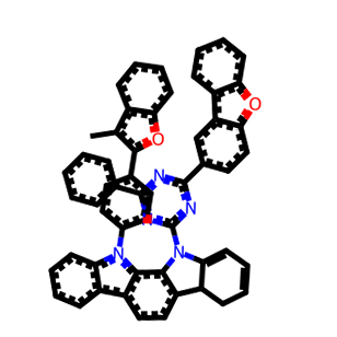 Cc1c(-c2ccc(-n3c4ccccc4c4ccc5c(c43)N(c3nc(-c4ccccc4)nc(-c4ccc6oc7ccccc7c6c4)n3)C3=CC=CCC35)cc2)oc2ccccc12